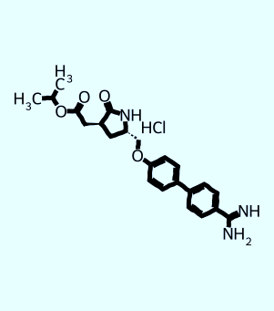 CC(C)OC(=O)C[C@@H]1C[C@@H](COc2ccc(-c3ccc(C(=N)N)cc3)cc2)NC1=O.Cl